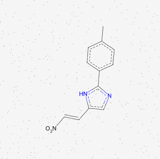 Cc1ccc(-c2ncc(C=C[N+](=O)[O-])[nH]2)cc1